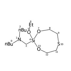 CCCCN(CCCC)C[Si]1(OCC)OCCSCCO1